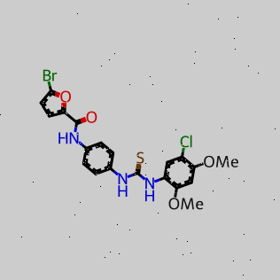 COc1cc(OC)c(NC(=S)Nc2ccc(NC(=O)c3ccc(Br)o3)cc2)cc1Cl